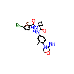 Cc1cc(NC(=O)C2(NC(=O)c3ccc(Br)s3)CCC2)ccc1N1CCOCC1=N